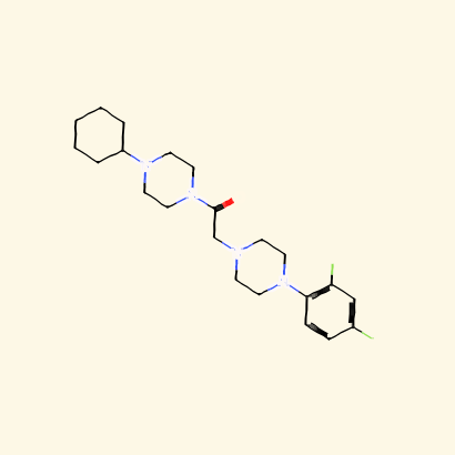 O=C(CN1CCN(c2ccc(F)cc2F)CC1)N1CCN(C2CCCCC2)CC1